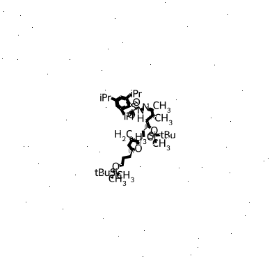 C=C1C[C@H](CCCO[Si](C)(C)C(C)(C)C)O[C@H]1CC[C@H](C[C@@H](C)C(C)=NNS(=O)(=O)c1c(C(C)C)cc(C(C)C)cc1C(C)C)O[Si](C)(C)C(C)(C)C